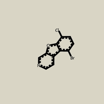 Clc1ccc(Br)c2c1oc1cnccc12